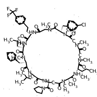 CC[C@H](C)[C@@H]1NC(=O)[C@H](C)N(C)C(=O)C[C@@H](C(=O)N2CCCC2)NC(=O)[C@H](CC(C)C)NC(=O)[C@H](Cc2ccccc2)N(C)C(=O)[C@H](CC(C)C)NC(=O)[C@H](CCc2ccc(C(F)(F)F)cc2)NC(=O)CN(C)C(=O)[C@H](Cc2ccc(Cl)cc2)N(C)C(=O)CN(C)C(=O)CN(C)C1=O